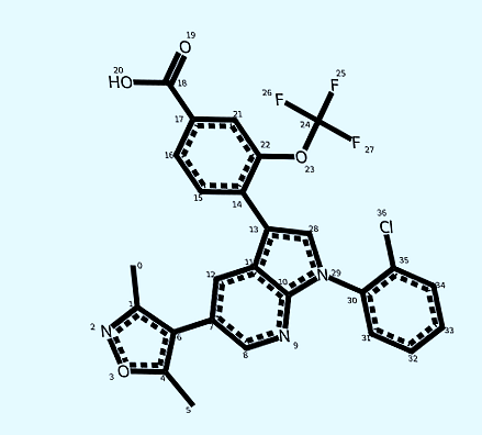 Cc1noc(C)c1-c1cnc2c(c1)c(-c1ccc(C(=O)O)cc1OC(F)(F)F)cn2-c1ccccc1Cl